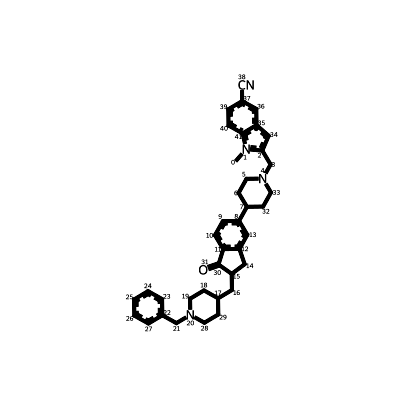 Cn1c(CN2CCC(c3ccc4c(c3)CC(CC3CCN(Cc5ccccc5)CC3)C4=O)CC2)cc2cc(C#N)ccc21